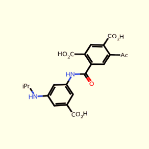 CC(=O)c1cc(C(=O)Nc2cc(NC(C)C)cc(C(=O)O)c2)c(C(=O)O)cc1C(=O)O